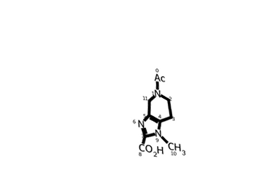 CC(=O)N1CCc2c(nc(C(=O)O)n2C)C1